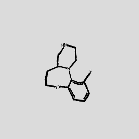 Fc1cccc2c1N1CCNCC1CCO2